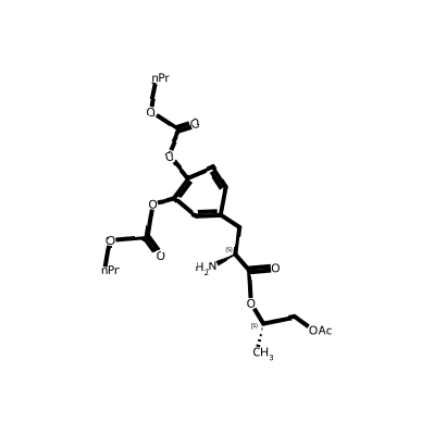 CCCOC(=O)Oc1ccc(C[C@H](N)C(=O)O[C@@H](C)COC(C)=O)cc1OC(=O)OCCC